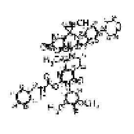 Cc1cc(-n2c(OC(=O)NCc3ccccc3)nc3c(c2=O)CCN(C(=O)c2cc4cc(C5CCOCC5)ccc4n2C2(c4nc(=O)o[nH]4)C[C@@H]2C)[C@H]3C)cc(C)c1F